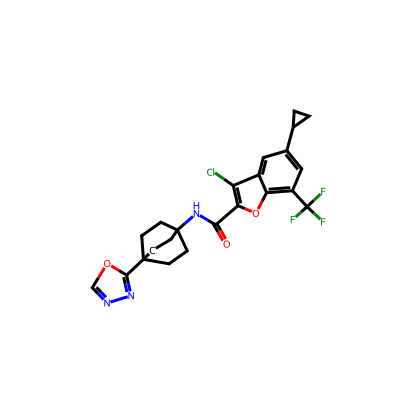 O=C(NC12CCC(c3nnco3)(CC1)CC2)c1oc2c(C(F)(F)F)cc(C3CC3)cc2c1Cl